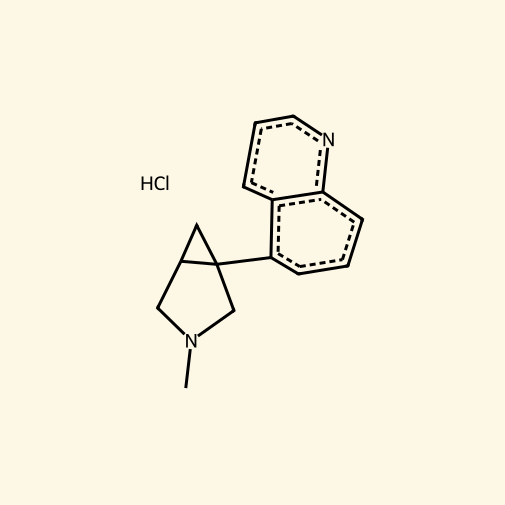 CN1CC2CC2(c2cccc3ncccc23)C1.Cl